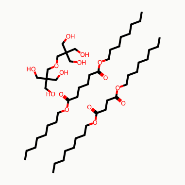 CCCCCCCCOC(=O)CCC(=O)OCCCCCCCC.CCCCCCCCOC(=O)CCCCC(=O)OCCCCCCCC.OCC(CO)(CO)COCC(CO)(CO)CO